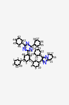 c1ccc(-c2cc(-c3cccc(-c4nc5ccccn5c4-c4ccccc4)c3)cc(-c3nc(-c4ccccc4)nc(-c4ccccc4)n3)c2)cc1